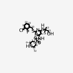 C[C@@H]1CN(S(=O)(=O)Nc2cc(NC(C)(C)CO)nc(SCc3cccc(Cl)c3F)n2)C[C@H](C)N1